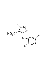 Cc1nn(C)c(Oc2cc(F)ccc2F)c1C(=O)O